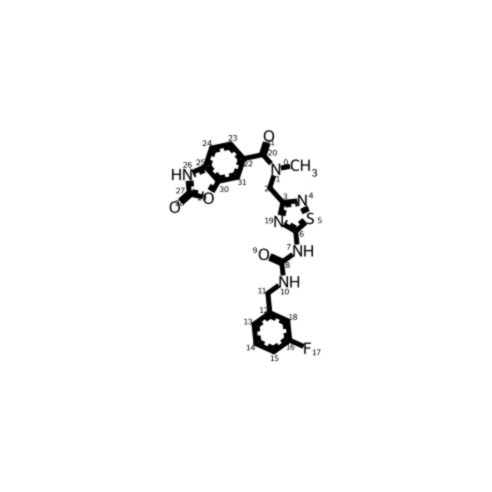 CN(Cc1nsc(NC(=O)NCc2cccc(F)c2)n1)C(=O)c1ccc2[nH]c(=O)oc2c1